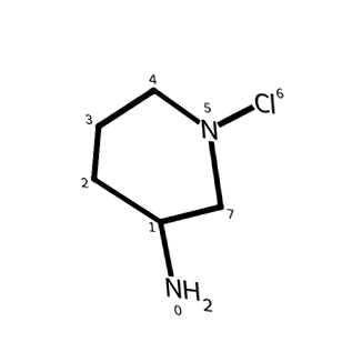 NC1CCCN(Cl)C1